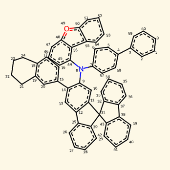 c1ccc(-c2ccc(N(c3cc4c(cc3-c3ccc5c(c3)CCCC5)-c3ccccc3C43c4ccccc4-c4ccccc43)c3cccc4oc5ccccc5c34)cc2)cc1